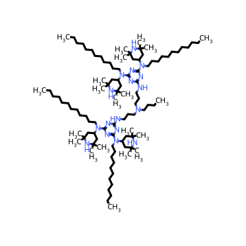 CCCCCCCCCCCCN(c1nc(NCCCN(CCCC)CCCNc2nc(N(CCCCCCCCCCCC)C3CC(C)(C)NC(C)(C)C3)nc(N(CCCCCCCCCCCC)C3CC(C)(C)NC(C)(C)C3)n2)nc(N(CCCCCCCCCCCC)C2CC(C)(C)NC(C)(C)C2)n1)C1CC(C)(C)NC(C)(C)C1